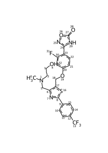 CN(CCO)Cc1nc(-c2ccc(C(F)(F)F)cc2)sc1COc1ccc(-c2noc(=O)[nH]2)c(F)c1